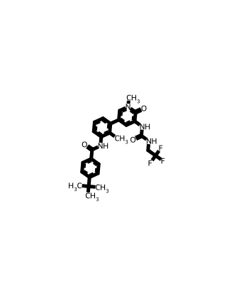 Cc1c(NC(=O)c2ccc(C(C)(C)C)cc2)cccc1-c1cc(NC(=O)NCC(F)(F)F)c(=O)n(C)c1